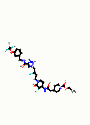 CCOC(=O)N1CCC(CC(=O)Nc2ccn(CCC(F)Cn3cc(C(=O)NCc4cccc(OC(F)(F)F)c4)nn3)c(=O)c2F)CC1